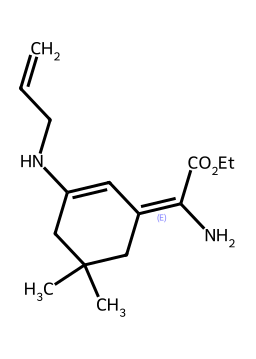 C=CCNC1=C/C(=C(/N)C(=O)OCC)CC(C)(C)C1